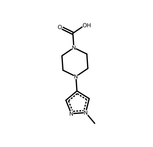 Cn1cc(N2CCN(C(=O)O)CC2)cn1